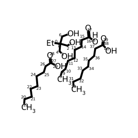 CCC(CO)(CO)CO.CCCCCCCCC(=O)O.CCCCCCCCC(=O)O.CCCCCCCCC(=O)O